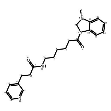 C[SiH]1CN(C(=O)CCCCCNC(=O)CCc2cccnc2)c2ccccc21